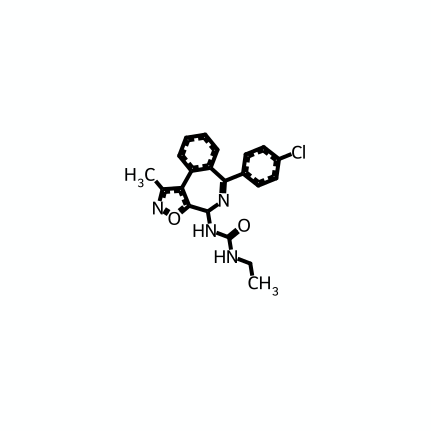 CCNC(=O)NC1N=C(c2ccc(Cl)cc2)c2ccccc2-c2c(C)noc21